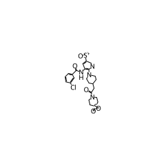 C[S+]([O-])c1cnc(N2CCC(CC(=O)N3CCS(=O)(=O)CC3)CC2)c(NC(=O)c2cccc(Cl)c2)c1